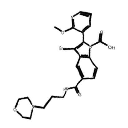 COc1ncccc1-c1c(Br)c2cc(C(=O)NCCCN3CCOCC3)ccc2n1C(=O)O